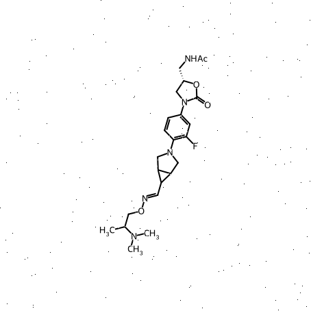 CC(=O)NC[C@H]1CN(c2ccc(N3CC4C(C=NOCC(C)N(C)C)C4C3)c(F)c2)C(=O)O1